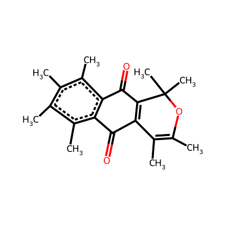 CC1=C(C)C2=C(C(=O)c3c(C)c(C)c(C)c(C)c3C2=O)C(C)(C)O1